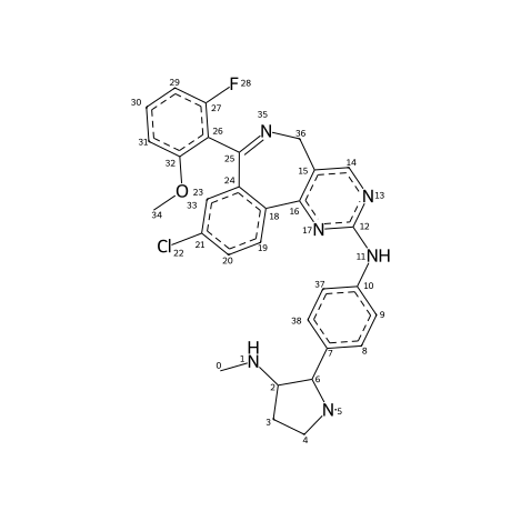 CNC1CC[N]C1c1ccc(Nc2ncc3c(n2)-c2ccc(Cl)cc2C(c2c(F)cccc2OC)=NC3)cc1